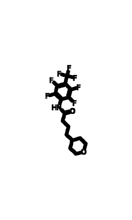 O=C(CCCC1CCOCC1)Nc1c(F)c(F)c(C(F)(F)F)c(F)c1F